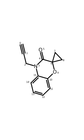 C#CCN1C(=O)C2(CC2)Oc2ccccc21